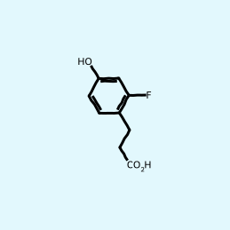 O=C(O)CCc1ccc(O)cc1F